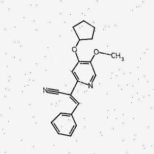 COc1cnc(/C(C#N)=C/c2ccccc2)cc1OC1CCCC1